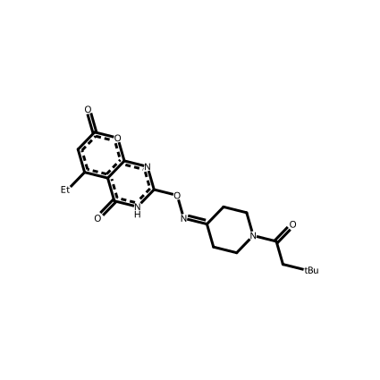 CCc1cc(=O)oc2nc(ON=C3CCN(C(=O)CC(C)(C)C)CC3)[nH]c(=O)c12